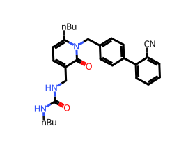 CCCCNC(=O)NCc1ccc(CCCC)n(Cc2ccc(-c3ccccc3C#N)cc2)c1=O